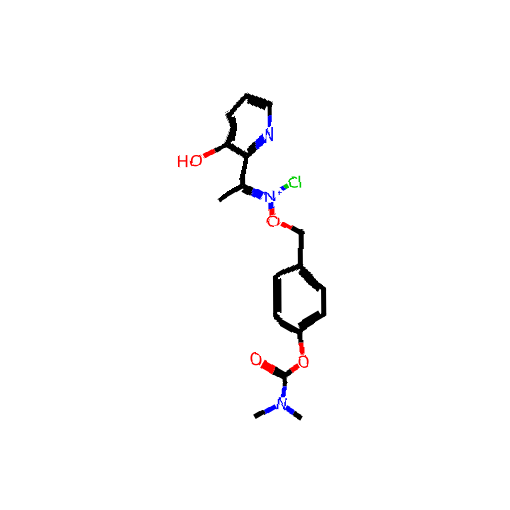 CC(c1ncccc1O)=[N+](Cl)OCc1ccc(OC(=O)N(C)C)cc1